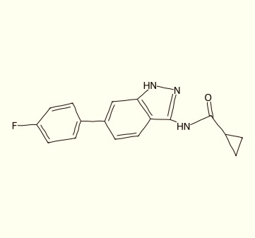 O=C(Nc1n[nH]c2cc(-c3ccc(F)cc3)ccc12)C1CC1